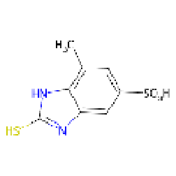 Cc1cc(S(=O)(=O)O)cc2nc(S)[nH]c12